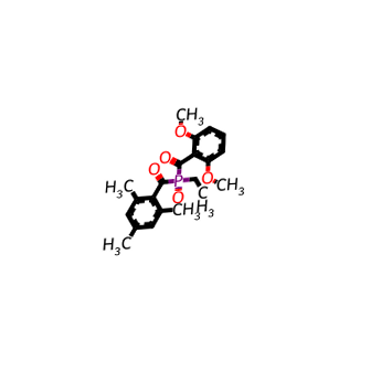 CCP(=O)(C(=O)c1c(C)cc(C)cc1C)C(=O)c1c(OC)cccc1OC